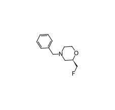 FC[C@H]1CN(Cc2ccccc2)CCO1